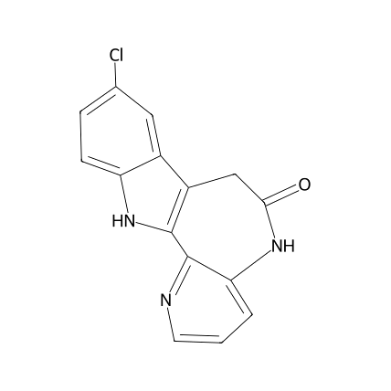 O=C1Cc2c([nH]c3ccc(Cl)cc23)-c2ncccc2N1